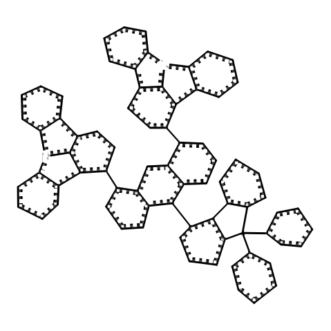 c1ccc(C2(c3ccccc3)c3ccccc3-c3c(-c4c5cccc(-c6ccc7c8ccccc8n8c9ccccc9c6c78)c5cc5c(-c6ccc7c8ccccc8n8c9ccccc9c6c78)cccc45)cccc32)cc1